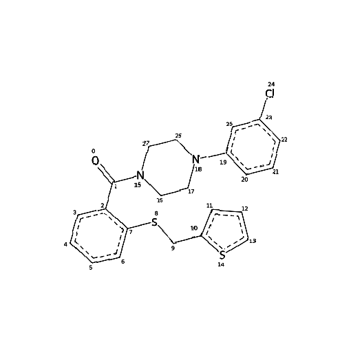 O=C(c1ccccc1SCc1cccs1)N1CCN(c2cccc(Cl)c2)CC1